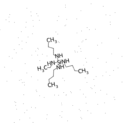 CCCCN[Si](NCC)(NCCCC)NCCCC